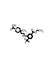 CCOC(=O)c1ccc(C(F)(F)F)c(NCCC2(C)CCN(C(=O)O)CC2)c1